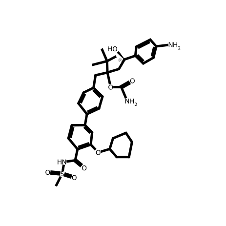 CC(C)(C)C(Cc1ccc(-c2ccc(C(=O)NS(C)(=O)=O)c(OC3CCCCC3)c2)cc1)(C[C@@H](O)c1ccc(N)cc1)OC(N)=O